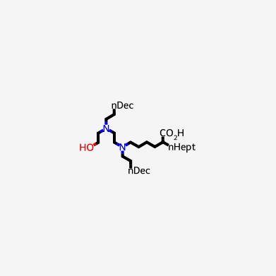 CCCCCCCCCCCCN(CCO)CCN(CCCCCCCCCCCC)CCCCC(CCCCCCC)C(=O)O